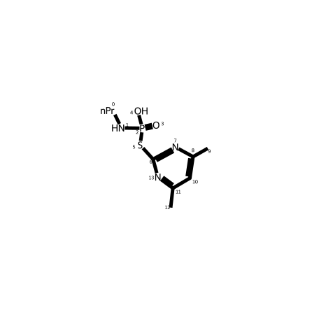 CCCNP(=O)(O)Sc1nc(C)cc(C)n1